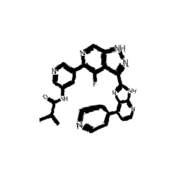 CC(C)C(=O)Nc1cncc(-c2ncc3[nH]nc(-c4nc5c(-c6ccncc6)ccnc5[nH]4)c3c2F)c1